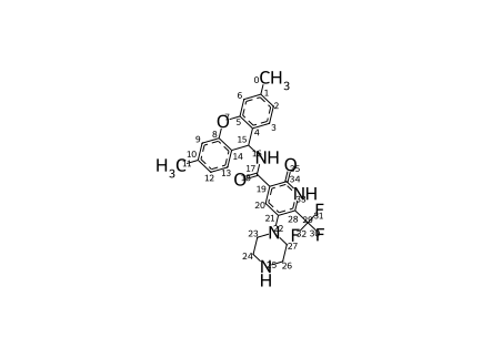 Cc1ccc2c(c1)Oc1cc(C)ccc1C2NC(=O)c1cc(N2CCNCC2)c(C(F)(F)F)[nH]c1=O